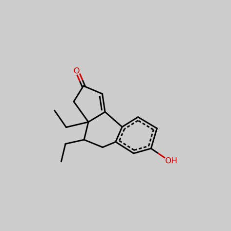 CCC1Cc2cc(O)ccc2C2=CC(=O)CC21CC